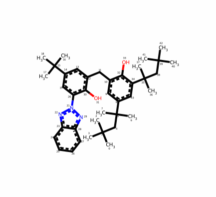 CC(C)(C)CC(C)(C)c1cc(Cc2cc(C(C)(C)C)cc(-n3nc4ccccc4n3)c2O)c(O)c(C(C)(C)CC(C)(C)C)c1